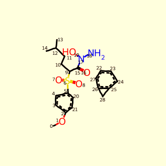 COc1ccc(S(=O)(=O)C(CCC(C)C)C(=O)N(N)O)cc1.c1ccc2c(c1)C2